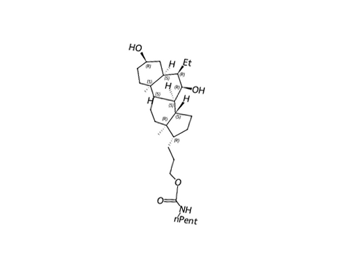 CCCCCNC(=O)OCCC[C@H]1CC[C@H]2[C@@H]3[C@H](O)[C@H](CC)[C@@H]4C[C@H](O)CC[C@]4(C)[C@H]3CC[C@]12C